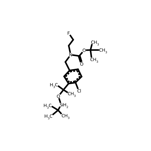 CC(C)(C)OC(=O)N(CCF)Cc1ccc(Cl)c(C(C)(C)O[SiH2]C(C)(C)C)c1